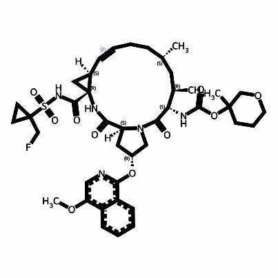 COc1cnc(O[C@@H]2C[C@H]3C(=O)N[C@]4(C(=O)NS(=O)(=O)C5(CF)CC5)C[C@H]4/C=C\CC[C@H](C)C[C@@H](C)[C@H](NC(=O)OC4(C)CCCOC4)C(=O)N3C2)c2ccccc12